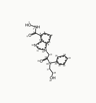 O=C(NO)c1cccc2c1ncn2CC(=O)N(CCO)c1ccccc1